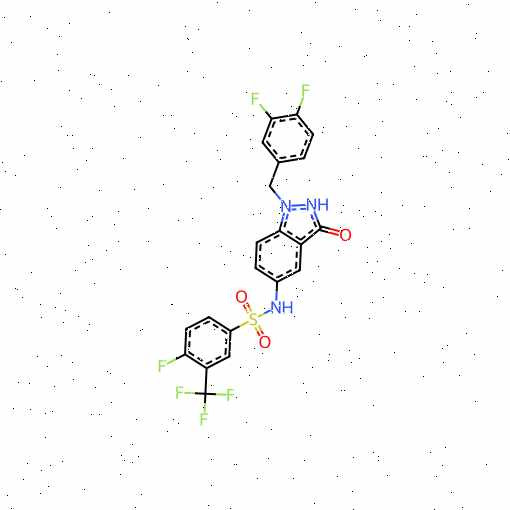 O=c1[nH]n(Cc2ccc(F)c(F)c2)c2ccc(NS(=O)(=O)c3ccc(F)c(C(F)(F)F)c3)cc12